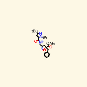 COC(=O)C1(Cc2ccccc2)CC(CNC(=O)c2cc(C(C)(C)C)nn2C(C)C)=NO1